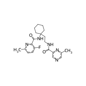 Cc1cncc(C(=O)NCCC2(NC(=O)c3nc(C)ccc3F)CCCCC2)n1